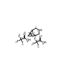 C1NCC2NC1C1CC21.O=C(O)C(F)(F)F.O=C(O)C(F)(F)F